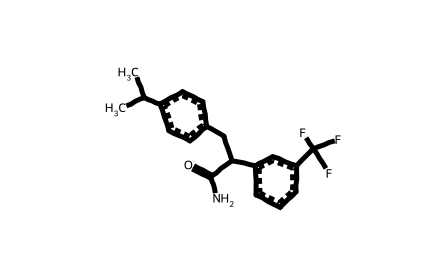 CC(C)c1ccc(CC(C(N)=O)c2cccc(C(F)(F)F)c2)cc1